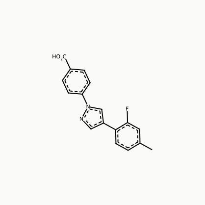 Cc1ccc(-c2cnn(-c3ccc(C(=O)O)cc3)c2)c(F)c1